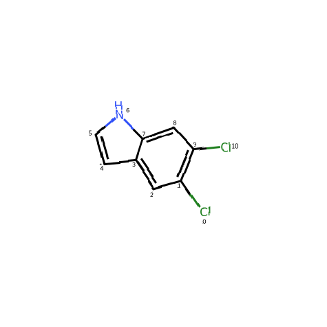 Clc1cc2[c]c[nH]c2cc1Cl